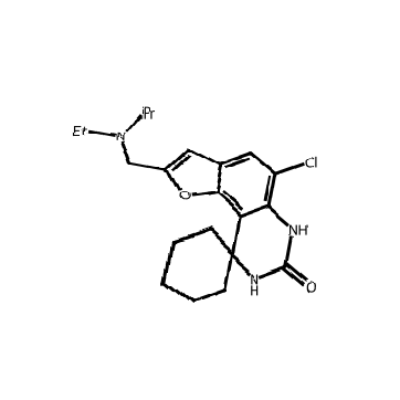 CCN(Cc1cc2cc(Cl)c3c(c2o1)C1(CCCCC1)NC(=O)N3)C(C)C